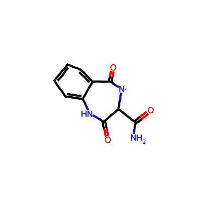 NC(=O)C1[N]C(=O)c2ccccc2NC1=O